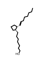 CCCCCC/C=C/[C@H]1CCC[C@@H]1CCCCCCCO